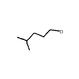 CC(C)C[CH]CCl